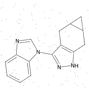 c1ccc2c(c1)ncn2-c1n[nH]c2c1CC1CC1C2